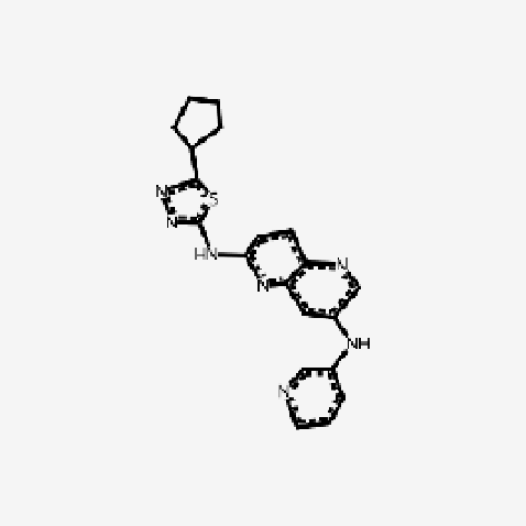 c1cncc(Nc2cnc3ccc(Nc4nnc(C5CCCC5)s4)nc3c2)c1